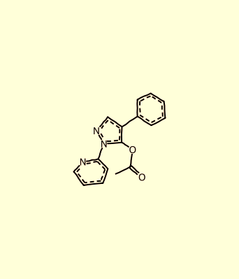 CC(=O)Oc1c(-c2ccccc2)cnn1-c1ccccn1